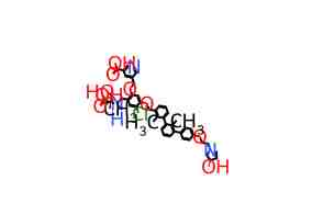 Cc1c(COc2cc(OCc3cncc(C(=O)O)c3)c(CN[C@@](C)(CO)C(=O)O)cc2Cl)cccc1-c1cccc(-c2ccc(OCCN3CC[C@@H](O)C3)cc2)c1C